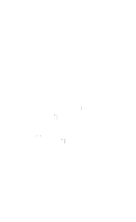 O=C(CC1CCCCC1)Nc1nc2c(nc1-c1ccc(O)cc1)-c1ccc(F)cc1CC2